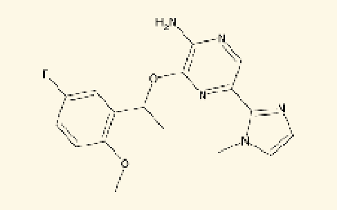 COc1ccc(F)cc1C(C)Oc1nc(-c2nccn2C)cnc1N